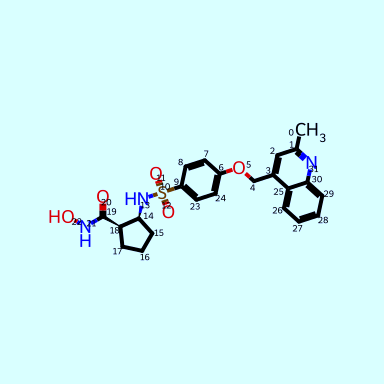 Cc1cc(COc2ccc(S(=O)(=O)N[C@H]3CCC[C@H]3C(=O)NO)cc2)c2ccccc2n1